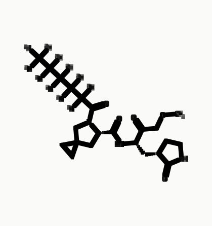 [2H]C([2H])([2H])C([2H])([2H])C([2H])([2H])C([2H])([2H])C([2H])([2H])C(=O)N1CC2(CC2)C[C@H]1C(=O)N[C@@H](C[C@@H]1CCNC1=O)C(=O)COC(F)(F)F